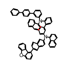 c1ccc(-c2ccc(-c3cccc(N(c4ccccc4-c4cccc(N(c5ccc6cc(-c7cccc8oc9ccccc9c78)ccc6c5)c5cccc6ccccc56)c4)c4cccc5ccccc45)c3)cc2)cc1